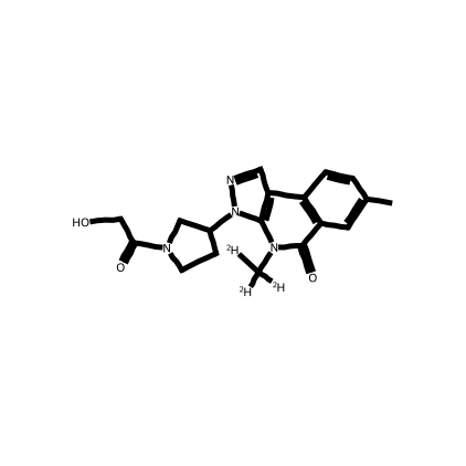 [2H]C([2H])([2H])n1c(=O)c2cc(C)ccc2c2cnn(C3CCN(C(=O)CO)C3)c21